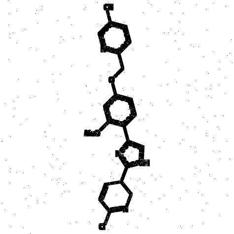 COc1cc(OCc2ccc(C#N)cn2)ccc1-c1c[nH]c(C2C=CC(Cl)=NC2)n1